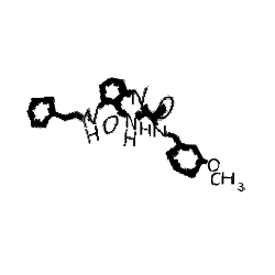 COc1cccc(CNC(=O)c2nc3cccc(NCCc4ccccc4)c3c(=O)[nH]2)c1